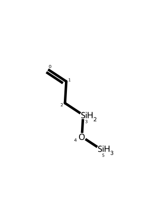 C=CC[SiH2]O[SiH3]